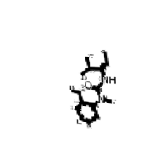 C/C=C(/NC(=O)N(C)c1ccccc1CC)C(C)C